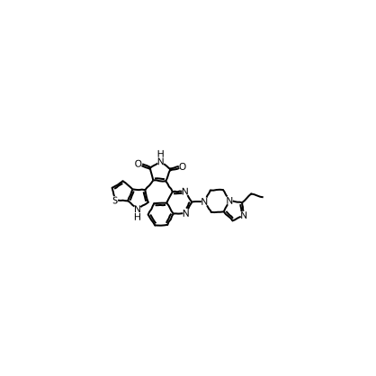 CCc1ncc2n1CCN(c1nc(C3=C(c4c[nH]c5sccc45)C(=O)NC3=O)c3ccccc3n1)C2